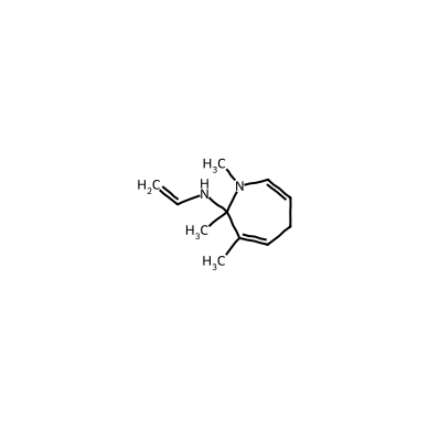 C=CNC1(C)C(C)=CCC=CN1C